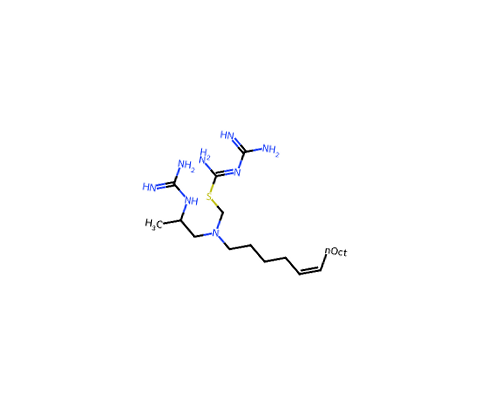 CCCCCCCC/C=C\CCCCN(CSC(N)=NC(=N)N)CC(C)NC(=N)N